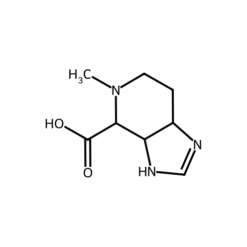 CN1CCC2N=CNC2C1C(=O)O